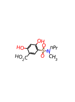 CCCN(C)S(=O)(=O)c1cc(C(=O)O)c(O)cc1O